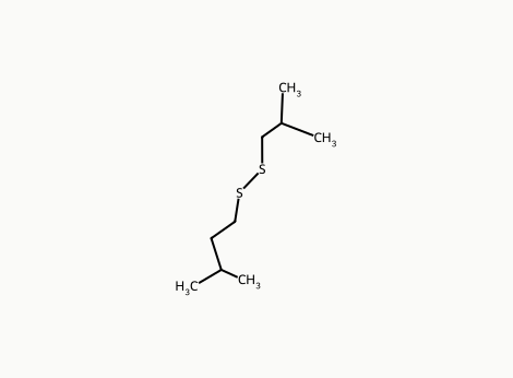 CC(C)CCSSCC(C)C